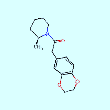 C[C@H]1CCCCN1C(=O)Cc1ccc2c(c1)OCCO2